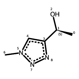 C[C@H](O)c1cn(C)nn1